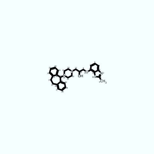 Cc1nc2cccc(OCC(O)CN3CCN(C4c5ccccc5CCc5ccccc54)CC3)c2s1